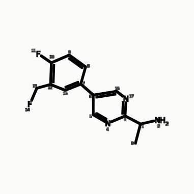 CC(N)c1ncc(-c2ccc(F)c(CF)c2)cn1